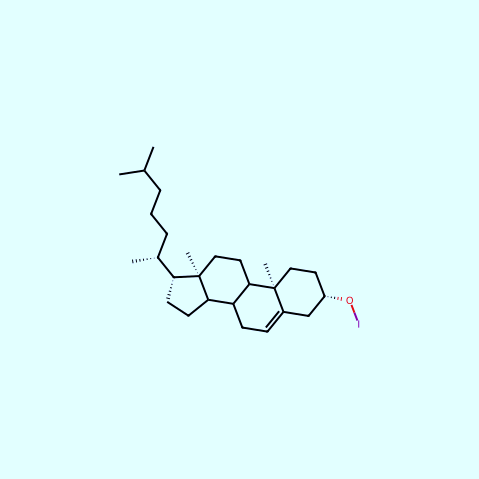 CC(C)CCC[C@@H](C)[C@H]1CCC2C3CC=C4C[C@@H](OI)CC[C@]4(C)C3CC[C@@]21C